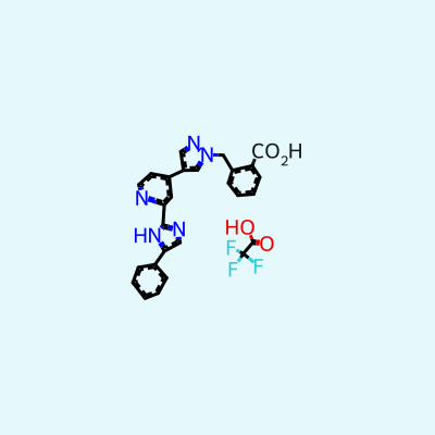 O=C(O)C(F)(F)F.O=C(O)c1ccccc1Cn1cc(-c2ccnc(-c3ncc(-c4ccccc4)[nH]3)c2)cn1